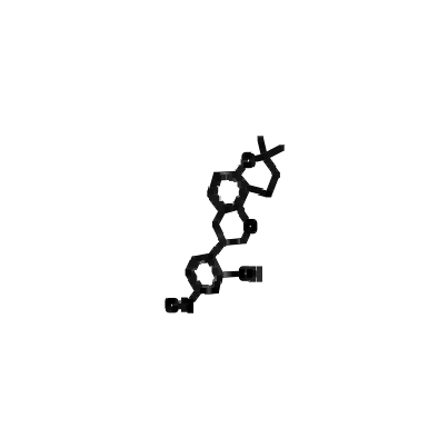 CC1(C)CCc2c(ccc3c2OCC(c2ccc(N=O)cc2O)C3)O1